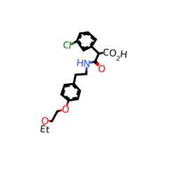 CCOCCOc1ccc(CCNC(=O)C(C(=O)O)c2cccc(Cl)c2)cc1